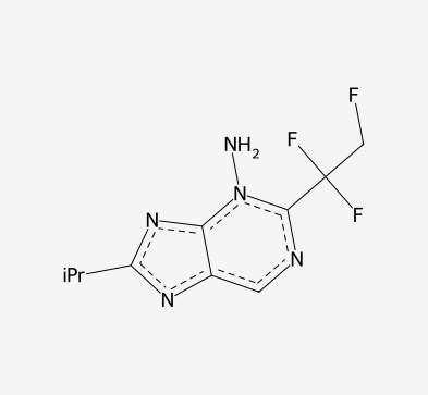 CC(C)c1nc2cnc(C(F)(F)CF)n(N)c-2n1